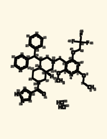 CCOc1nc(OC)c(CN2CC(C(c3ccccc3)c3ccccc3)N3CCN(C(=O)c4cn[nH]c4)C[C@H]3C2)c(OCC(F)(F)F)n1.Cl.Cl